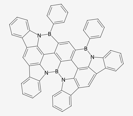 c1ccc(B2c3cc4c5c6c3-c3c7c(cc8c9ccccc9n(c38)B6n3c6ccccc6c6cc8c9ccccc9n(c8c-5c63)B4c3ccccc3)c3ccccc3n72)cc1